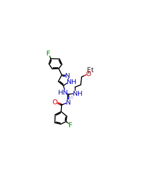 CCOCCCN/C(=N/C(=O)c1cccc(F)c1)Nc1cc(-c2ccc(F)cc2)n[nH]1